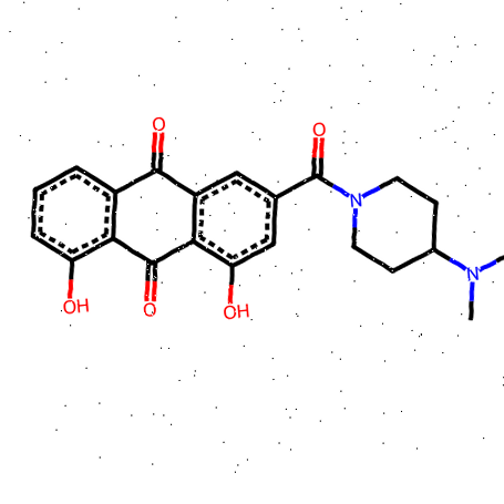 CN(C)C1CCN(C(=O)c2cc(O)c3c(c2)C(=O)c2cccc(O)c2C3=O)CC1